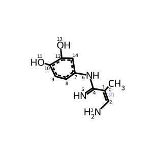 C/C(=C/N)C(=N)Nc1ccc(O)c(O)c1